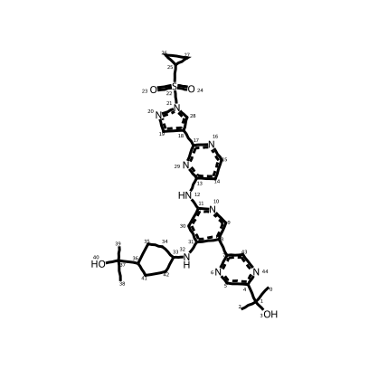 CC(C)(O)c1cnc(-c2cnc(Nc3ccnc(-c4cnn(S(=O)(=O)C5CC5)c4)n3)cc2NC2CCC(C(C)(C)O)CC2)cn1